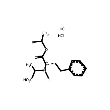 CC(I)OC(=O)[C@H](CCc1ccccc1)N(I)C(C)C(=O)O.Cl.Cl